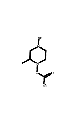 CC(=O)N1CCN(OC(=O)C(C)(C)C)C(C)C1